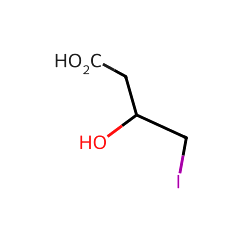 O=C(O)CC(O)CI